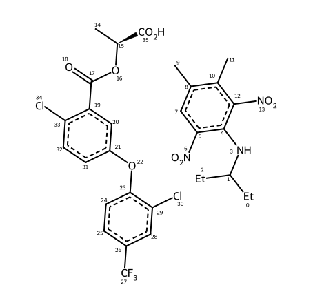 CCC(CC)Nc1c([N+](=O)[O-])cc(C)c(C)c1[N+](=O)[O-].C[C@H](OC(=O)c1cc(Oc2ccc(C(F)(F)F)cc2Cl)ccc1Cl)C(=O)O